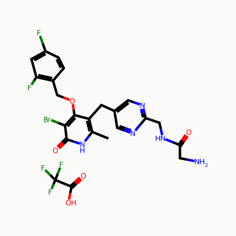 Cc1[nH]c(=O)c(Br)c(OCc2ccc(F)cc2F)c1Cc1cnc(CNC(=O)CN)nc1.O=C(O)C(F)(F)F